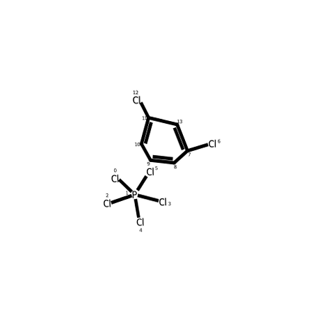 ClP(Cl)(Cl)(Cl)Cl.Clc1cccc(Cl)c1